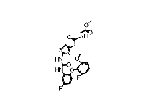 COC(=O)CNC(=O)Cc1csc(NC(=O)Nc2cc(F)ccc2Oc2c(F)cccc2OC)n1